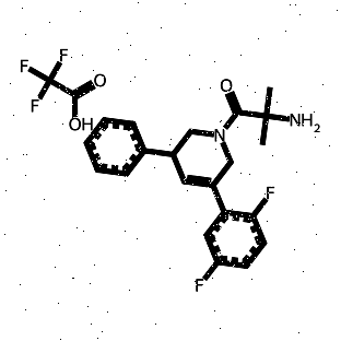 CC(C)(N)C(=O)N1CC(c2cc(F)ccc2F)=CC(c2ccccc2)C1.O=C(O)C(F)(F)F